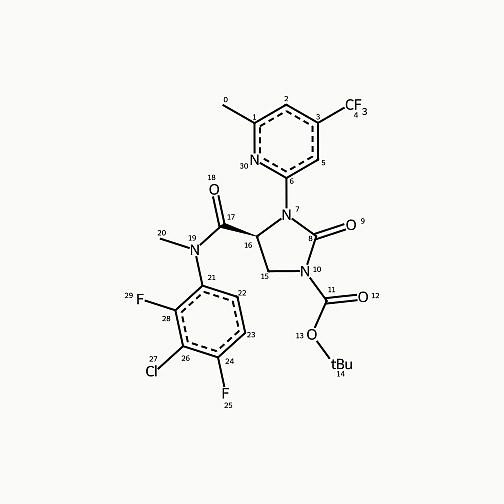 Cc1cc(C(F)(F)F)cc(N2C(=O)N(C(=O)OC(C)(C)C)C[C@H]2C(=O)N(C)c2ccc(F)c(Cl)c2F)n1